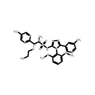 COc1cccc(OC)c1-n1c(NS(=O)(=O)[C@H](C)[C@H](OCCO)c2ncc(C)cn2)nnc1-c1cncc(C)c1